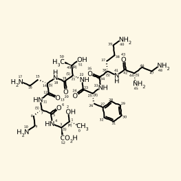 C[C@@H](O)[C@H](NC(=O)[C@H](CCN)NC(=O)[C@H](CCN)NC(=O)[C@@H](NC(=O)[C@@H](Cc1ccccc1)NC(=O)[C@H](CCCN)NC(=O)[C@@H](N)CCN)[C@@H](C)O)C(=O)O